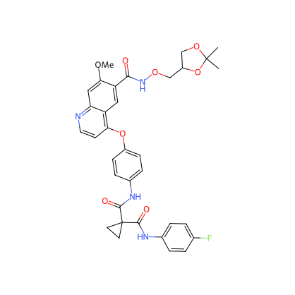 COc1cc2nccc(Oc3ccc(NC(=O)C4(C(=O)Nc5ccc(F)cc5)CC4)cc3)c2cc1C(=O)NOCC1COC(C)(C)O1